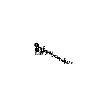 COC(=O)CCOCCOCCOCCNC(=O)CN(CC(=O)OC(C)(C)C)C(=O)OCC1c2ccccc2-c2ccccc21